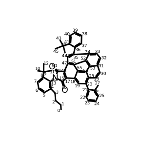 CCCCc1cccc(C(C)(C)C)c1-n1c(=O)c2c3cc(-c4ccccc4C)c4ccc5ccc6c(-c7ccccc7C(C)(C)C)cc(c2c1=O)c1c6c5c4c31